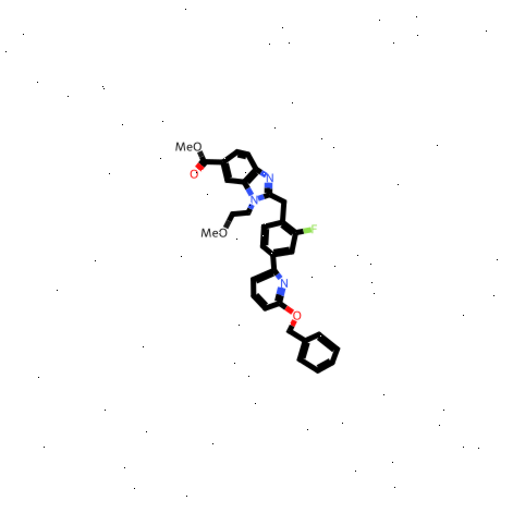 COCCn1c(Cc2ccc(-c3cccc(OCc4ccccc4)n3)cc2F)nc2ccc(C(=O)OC)cc21